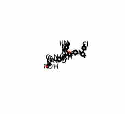 CN(C)CC(=O)N1CCO[C@H](CNc2ccc(S(=O)(=O)NC(=O)c3ccc(N4CCN(CC5=C(c6ccc(Cl)cc6)CC(C)(C)CC5)CC4)cc3-n3ncc4nc5[nH]ccc5cc43)cc2[N+](=O)[O-])C1